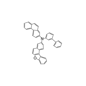 c1ccc(-c2cccc(N(c3ccc4c(ccc5ccccc54)c3)c3ccc4c(ccc5oc6ccccc6c54)c3)c2)cc1